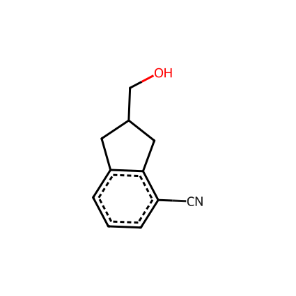 N#Cc1cccc2c1CC(CO)C2